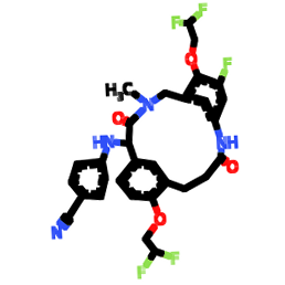 CN1Cc2cc(cc(F)c2OCC(F)F)NC(=O)CCc2cc(ccc2OCC(F)F)C(Nc2ccc(C#N)cc2)C1=O